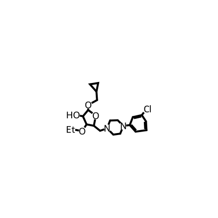 CCOC1C(CN2CCN(c3cccc(Cl)c3)CC2)OC(OCC2CC2)C1O